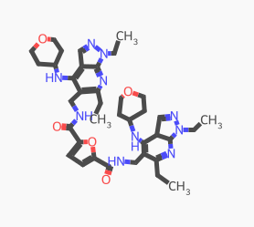 CCC1=NC2C(C=NN2CC)C(NC2CCOCC2)=C1CNC(=O)c1ccc(C(=O)NCc2c(CC)nc3c(cnn3CC)c2NC2CCOCC2)o1